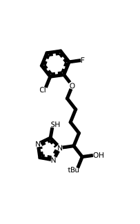 CC(C)(C)C(O)C(CCCCOc1c(F)cccc1Cl)n1ncnc1S